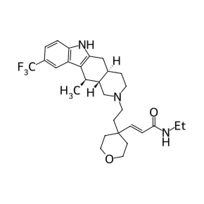 CCNC(=O)/C=C/C1(CCN2CC[C@@H]3Cc4[nH]c5ccc(C(F)(F)F)cc5c4[C@H](C)[C@H]3C2)CCOCC1